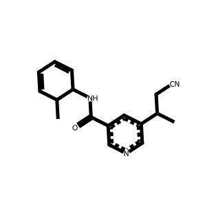 CC(CC#N)c1cncc(C(=O)NC2C=CC=CC2C)c1